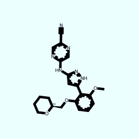 COc1cccc(OC[C@@H]2CCCCO2)c1-c1cc(Nc2cnc(C#N)cn2)n[nH]1